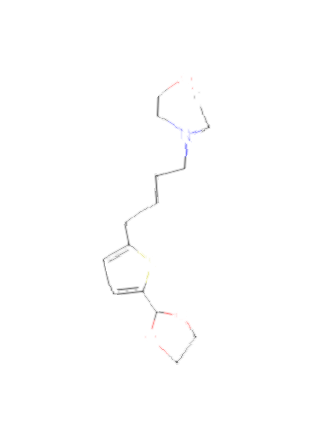 c1cc(C2OCCO2)sc1CCCCN1CCOCC1